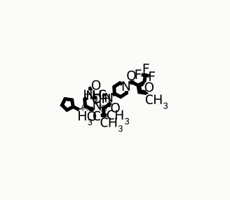 Cc1cc(C(=O)N2CCC(N(C)C(=O)[C@@H](NC(=O)[C@H](CC3CCCC3)CN(O)C=O)C(C)(C)C)CC2)c(C(F)(F)F)o1